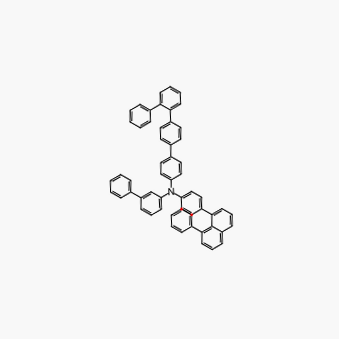 c1ccc(-c2cccc(N(c3ccc(-c4ccc(-c5ccccc5-c5ccccc5)cc4)cc3)c3ccc(-c4cccc5cccc(-c6ccccc6)c45)cc3)c2)cc1